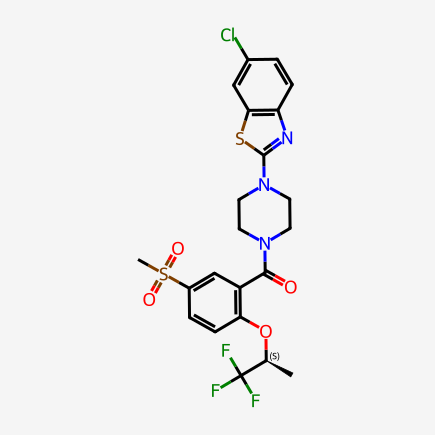 C[C@H](Oc1ccc(S(C)(=O)=O)cc1C(=O)N1CCN(c2nc3ccc(Cl)cc3s2)CC1)C(F)(F)F